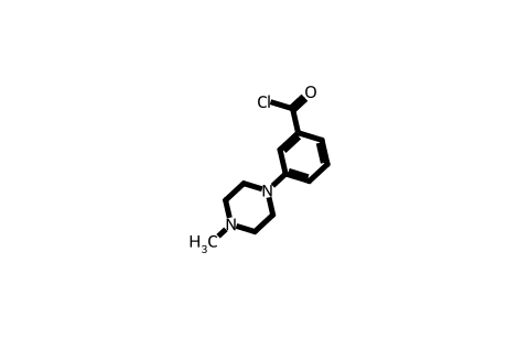 CN1CCN(c2cccc(C(=O)Cl)c2)CC1